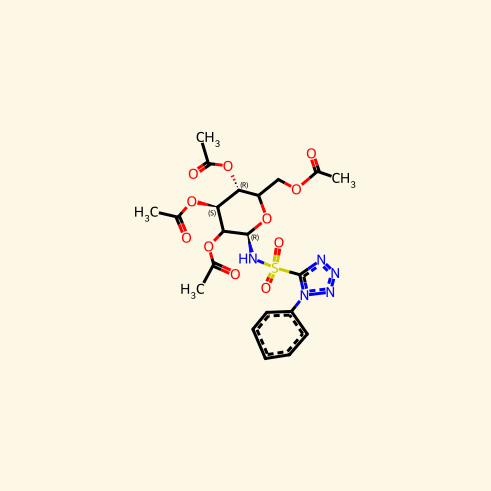 CC(=O)OCC1O[C@@H](NS(=O)(=O)c2nnnn2-c2ccccc2)C(OC(C)=O)[C@@H](OC(C)=O)[C@@H]1OC(C)=O